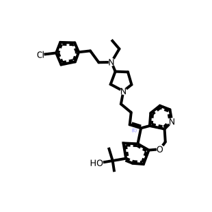 CCN(CCc1ccc(Cl)cc1)C1CCN(CC/C=C2/c3cc(C(C)(C)O)ccc3OCc3ncccc32)C1